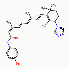 CC1=C(/C=C/C(C)=C/C=C/C(C)=C\C(=O)Nc2ccc(O)cc2)C(C)(C)CCC1n1ccnc1